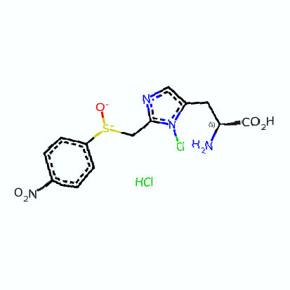 Cl.N[C@@H](Cc1cnc(C[S+]([O-])c2ccc([N+](=O)[O-])cc2)n1Cl)C(=O)O